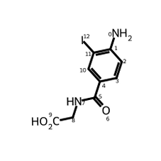 Nc1ccc(C(=O)NCC(=O)O)cc1I